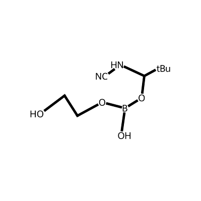 CC(C)(C)C(NC#N)OB(O)OCCO